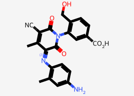 CC1=C(C#N)C(=O)N(c2cc(C(=O)O)ccc2CO)C(=O)/C1=N\c1ccc(N)cc1C